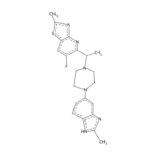 Cc1nc2cc(N3CCN(C(C)c4nc5nc(C)sc5cc4F)CC3)ccc2[nH]1